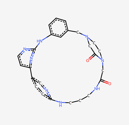 O=C1CN2CCN(CC2=O)Cc2cccc(c2)Nc2nccc(n2)-c2ccc(nc2)NCCCN1